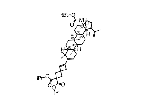 C=C(C)[C@@H]1CC[C@]2(NC(=O)OC(C)(C)C)CC[C@]3(C)[C@H](CC[C@@H]4[C@@]5(C)CC=C(C6=CC7(C6)CC(C(=O)OC(C)C)(C(=O)OC(C)C)C7)C(C)(C)[C@@H]5CC[C@]43C)[C@@H]12